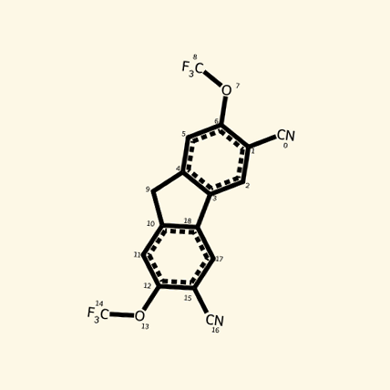 N#Cc1cc2c(cc1OC(F)(F)F)Cc1cc(OC(F)(F)F)c(C#N)cc1-2